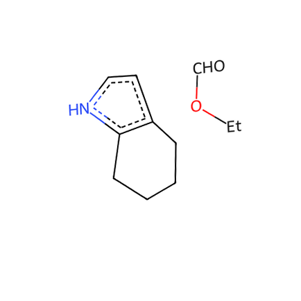 CCOC=O.c1cc2c([nH]1)CCCC2